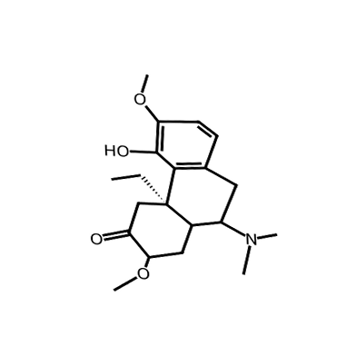 CC[C@@]12CC(=O)C(OC)CC1C(N(C)C)Cc1ccc(OC)c(O)c12